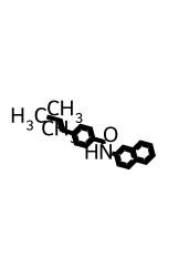 CC(C)(C)C=Cc1ccc(C(=O)Nc2ccc3ccccc3c2)cc1